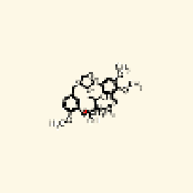 COc1ccc(C[C@H]2CO[C@H](c3cc(OC)c(OC)c(OC)c3)[C@@H]2CC(C)=C(C)C(=O)O)cc1OC